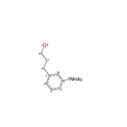 CC(=O)Nc1cccc(CCC[O])c1